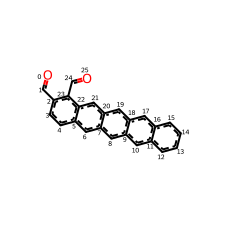 O=Cc1ccc2cc3cc4cc5ccccc5cc4cc3cc2c1C=O